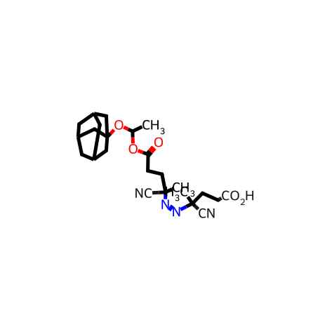 CC(OC(=O)CCC(C)(C#N)/N=N\C(C)(C#N)CCC(=O)O)OC12CC3CC(CC(C3)C1)C2